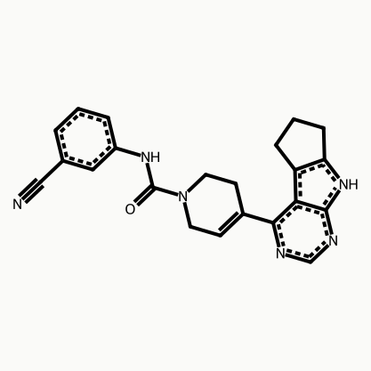 N#Cc1cccc(NC(=O)N2CC=C(c3ncnc4[nH]c5c(c34)CCC5)CC2)c1